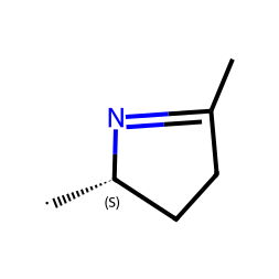 [CH2][C@H]1CCC(C)=N1